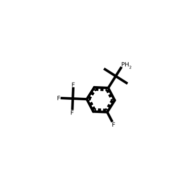 CC(C)(P)c1cc(F)cc(C(F)(F)F)c1